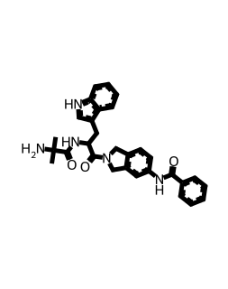 CC(C)(N)C(=O)NC(Cc1c[nH]c2ccccc12)C(=O)N1Cc2ccc(NC(=O)c3ccccc3)cc2C1